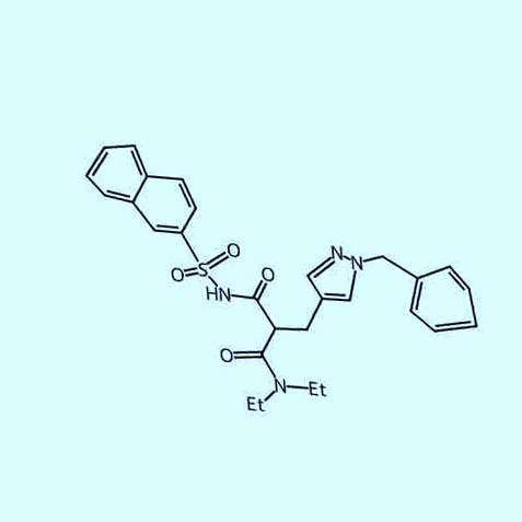 CCN(CC)C(=O)C(Cc1cnn(Cc2ccccc2)c1)C(=O)NS(=O)(=O)c1ccc2ccccc2c1